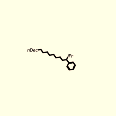 CCCCCCCCCCCCCCCCCCC([C](C)C)c1ccccc1